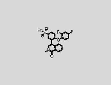 CCS(=O)(=O)c1ccc(Oc2ccc(F)cc2F)c(-c2cn(C)c(=O)c3ccccc23)c1